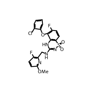 COc1ccc(F)c(CNC2=NS(=O)(=O)c3ccc(F)c(Oc4ccccc4Cl)c3N2)n1